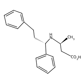 C[C@@H](CC(=O)O)N[C@@H](CCc1ccccc1)c1ccccc1